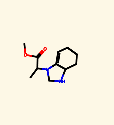 COC(=O)C(C)N1CNC2CCCC=C21